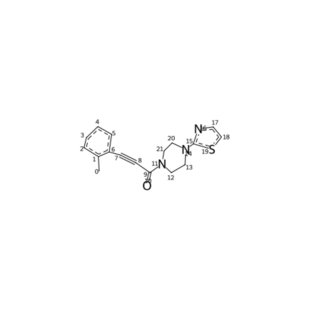 Cc1ccccc1C#CC(=O)N1CCN(c2nccs2)CC1